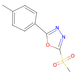 Cc1ccc(-c2nnc(S(C)(=O)=O)o2)cc1